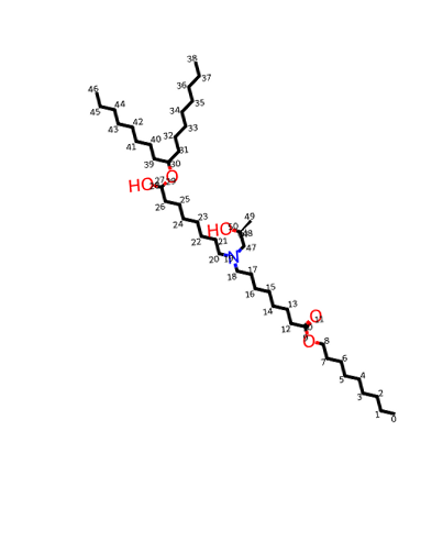 CCCCCCCCCOC(=O)CCCCCCCN(CCCCCCCC(O)OC(CCCCCCCC)CCCCCCCC)C[C@H](C)O